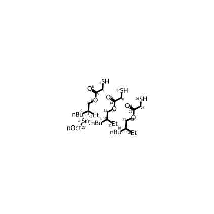 CCCCC(CC)COC(=O)CS.CCCCC(CC)COC(=O)CS.CCCCC(CC)COC(=O)CS.CCCCCCC[CH2][Sn]